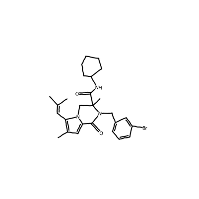 CC(C)=Cc1c(C)cc2n1CC(C)(C(=O)NC1CCCCC1)N(Cc1cccc(Br)c1)C2=O